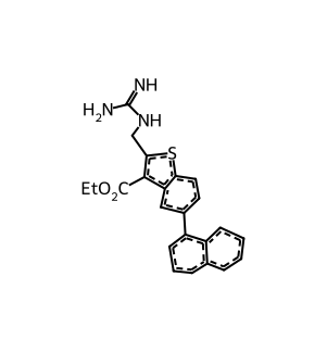 CCOC(=O)c1c(CNC(=N)N)sc2ccc(-c3cccc4ccccc34)cc12